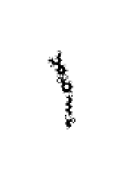 C=CC(=O)OCCCCCCOC1CCC(C(=O)Oc2ccc(C(CCC)CCC)cc2)CC1